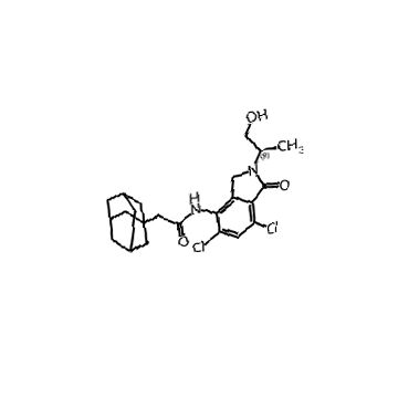 C[C@H](CO)N1Cc2c(NC(=O)CC34CC5CC(CC(C5)C3)C4)c(Cl)cc(Cl)c2C1=O